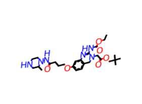 CCOC(=O)NC1=Nc2cc(OCCCC(=O)NN3CCNCC3C)ccc2CN1CC(=O)OCC(C)(C)C